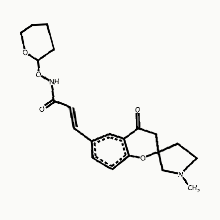 CN1CCC2(CC(=O)c3cc(C=CC(=O)NOC4CCCCO4)ccc3O2)C1